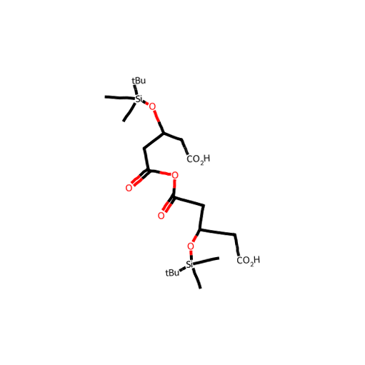 CC(C)(C)[Si](C)(C)OC(CC(=O)O)CC(=O)OC(=O)CC(CC(=O)O)O[Si](C)(C)C(C)(C)C